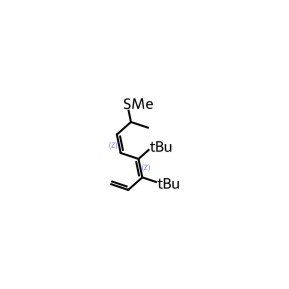 C=C/C(=C(\C=C/C(C)SC)C(C)(C)C)C(C)(C)C